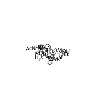 CC[C@]1(O)CC2CN(CCc3c([nH]c4ccccc34)[C@@](C(=O)OC)(c3cc4c(cc3OC)N(C)[C@H]3[C@@](O)(C(=O)NNC(C)=O)[C@H](O)[C@]5(CC)C=CCN6CC[C@]43[C@@H]65)C2)C1